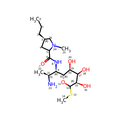 CCC[C@@H]1CC(C(=O)N[C@@H]([C@H]2OC(SC)[C@H](O)C(O)[C@@H]2O)[C@H](C)N)N(C)C1